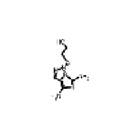 Nc1nc(N)n2c1cnn2OCCO